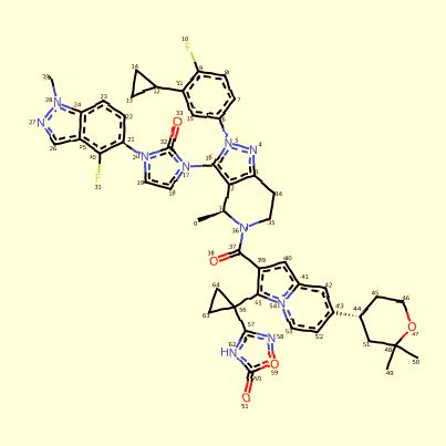 C[C@H]1c2c(nn(-c3ccc(F)c(C4CC4)c3)c2-n2ccn(-c3ccc4c(cnn4C)c3F)c2=O)CCN1C(=O)c1cc2cc([C@@H]3CCOC(C)(C)C3)ccn2c1C1(c2noc(=O)[nH]2)CC1